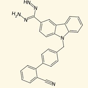 N#Cc1ccccc1-c1ccc(Cn2c3ccccc3c3cc(/C(N=N)=N/N)ccc32)cc1